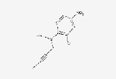 CC#CCN(CCC)c1ccc([N+](=O)[O-])cc1Cl